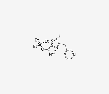 CC[Si](CC)(CC)Oc1ncn2c(Cc3cccnc3)c(I)sc12